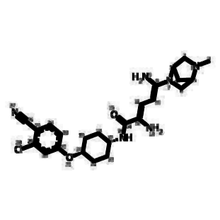 CN1CC2CC1CN2/C(N)=C/C=C(\N)C(=O)N[C@H]1CC[C@H](Oc2ccc(C#N)c(Cl)c2)CC1